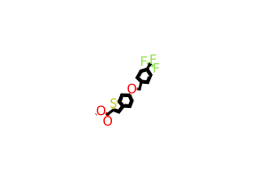 COC(=O)c1cc2ccc(OCc3ccc(C(F)(F)F)cc3)cc2s1